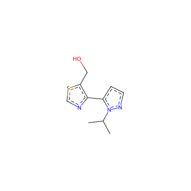 CC(C)n1nccc1-c1ncsc1CO